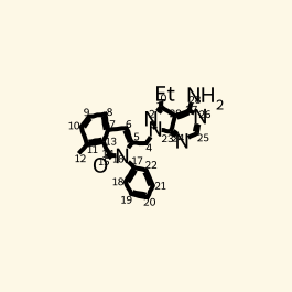 CCc1nn(Cc2cc3cccc(C)c3c(=O)n2-c2ccccc2)c2ncnc(N)c12